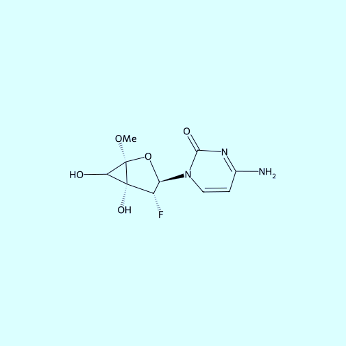 CO[C@]12O[C@@H](n3ccc(N)nc3=O)[C@H](F)[C@@]1(O)C2O